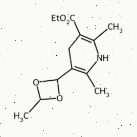 CCOC(=O)C1=C(C)NC(C)=C(C2OC(C)O2)C1